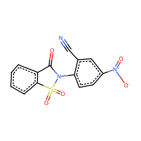 N#Cc1cc([N+](=O)[O-])ccc1N1C(=O)c2ccccc2S1(=O)=O